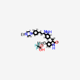 CCN1CCN(c2ccc(C=Cc3n[nH]c4cc([C@@H]5C[C@@]56C(=O)Nc5ccc(OC)cc56)ccc34)cc2)CC1.O=C(O)C(F)(F)F